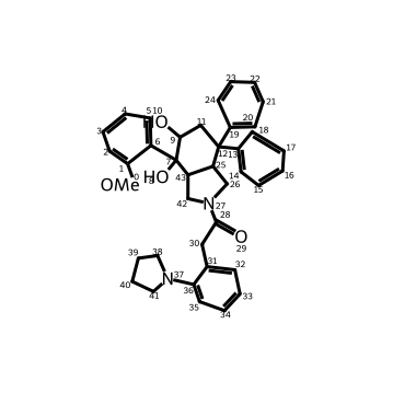 COc1ccccc1C1(O)C(O)CC(c2ccccc2)(c2ccccc2)C2CN(C(=O)Cc3ccccc3N3CCCC3)CC21